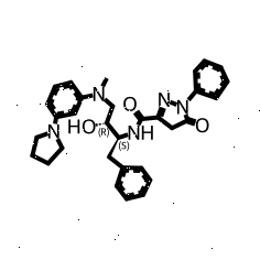 CN(C[C@@H](O)[C@H](Cc1ccccc1)NC(=O)C1=NN(c2ccccc2)C(=O)C1)c1cccc(N2CCCC2)c1